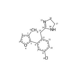 Cc1ccoc1-c1cc(Cl)ccc1CC1=NCCN1